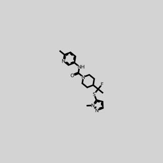 Cc1ccc(NC(=O)N2CCC(C(C)(F)Sc3ccnn3C)CC2)cn1